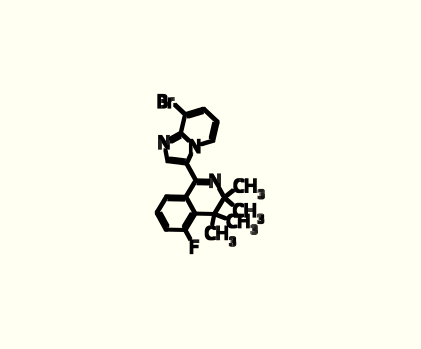 CC1(C)N=C(c2cnc3c(Br)cccn23)c2cccc(F)c2C1(C)C